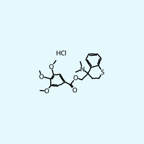 COc1cc(C(=O)OCC2(N(C)C)CCSc3ccccc32)cc(OC)c1OC.Cl